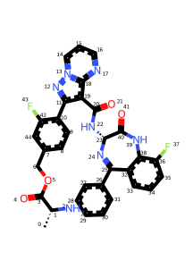 C[C@@H](N)C(=O)OCc1ccc(-c2nn3cccnc3c2C(=O)N[C@H]2N=C(c3ccccc3)c3cccc(F)c3NC2=O)c(F)c1